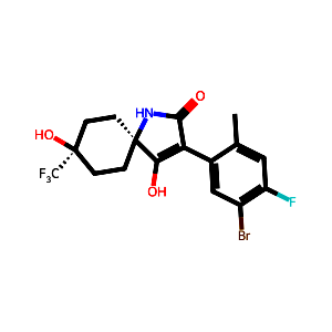 Cc1cc(F)c(Br)cc1C1=C(O)[C@]2(CC[C@@](O)(C(F)(F)F)CC2)NC1=O